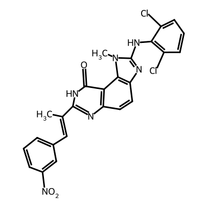 CC(=Cc1cccc([N+](=O)[O-])c1)c1nc2ccc3nc(Nc4c(Cl)cccc4Cl)n(C)c3c2c(=O)[nH]1